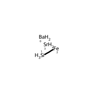 [BaH2].[SiH3][Fe].[SrH2]